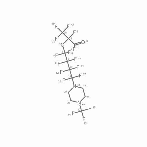 O=C(F)C(F)(OC(F)(F)C(F)(F)C(F)(F)C(F)(F)N1CCN(C(F)(F)F)CC1)C(F)(F)F